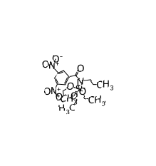 CCCN(C(=O)c1cc([N+](=O)[O-])cc([N+](=O)[O-])c1)[Si](OCC)(OCC)OCC